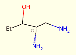 CCC(O)[C@@H](N)CN